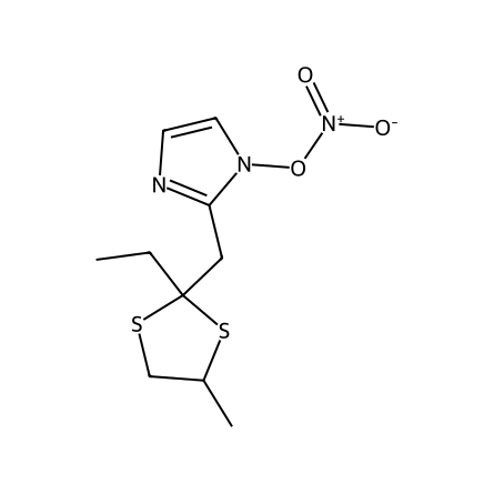 CCC1(Cc2nccn2O[N+](=O)[O-])SCC(C)S1